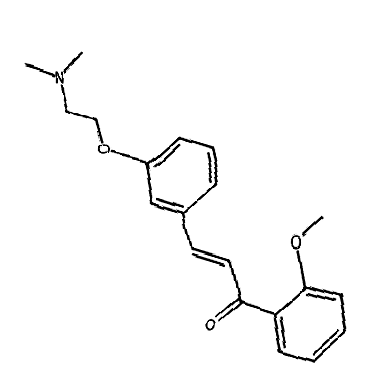 COc1ccccc1C(=O)C=Cc1cccc(OCCN(C)C)c1